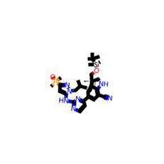 CC(C)Cn1nc(P(C)(C)=O)cc1Nc1nccc(-c2cc(C#N)c3c(c2)[C@@](C)(CO[Si](C)(C)C(C)(C)C)CN3)n1